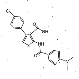 CN(C)c1ccc(C(=O)Nc2scc(-c3ccc(Cl)cc3)c2C(=O)O)cc1